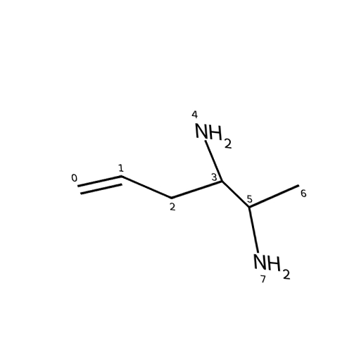 C=CCC(N)C(C)N